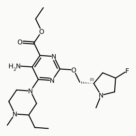 CCOC(=O)c1nc(OC[C@@H]2CC(F)CN2C)nc(N2CCN(C)C(CC)C2)c1N